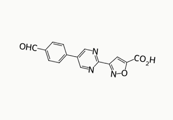 O=Cc1ccc(-c2cnc(-c3cc(C(=O)O)on3)nc2)cc1